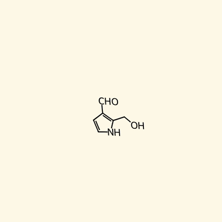 O=Cc1cc[nH]c1CO